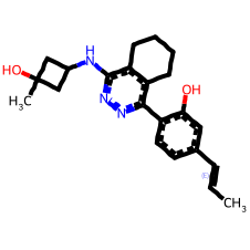 C/C=C/c1ccc(-c2nnc(NC3CC(C)(O)C3)c3c2CCCC3)c(O)c1